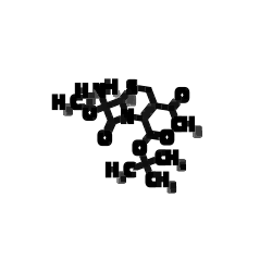 COC1(N)C(=O)N2C(C(=O)OC(C)(C)C)=C(C(C)=O)CS[C@@H]21